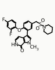 Cn1cc(-c2cc(CS(=O)(=O)N3CCCCC3)ccc2Oc2ccc(F)cc2F)c2cc[nH]c(=O)c21